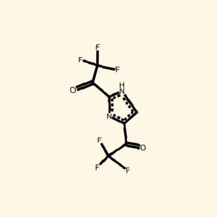 O=C(c1c[nH]c(C(=O)C(F)(F)F)n1)C(F)(F)F